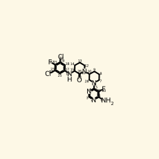 Nc1ncnc(N2CCCC(N3CCCC(Nc4cc(Cl)c(F)c(Cl)c4)C3=O)C2)c1F